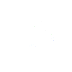 COCC1=C(C(=O)OC(C)C)C(C2=C(Cl)C=CC(C)C2Cl)C(C#N)=C(C)N1